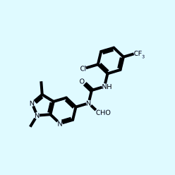 Cc1nn(C)c2ncc(N(C=O)C(=O)Nc3cc(C(F)(F)F)ccc3Cl)cc12